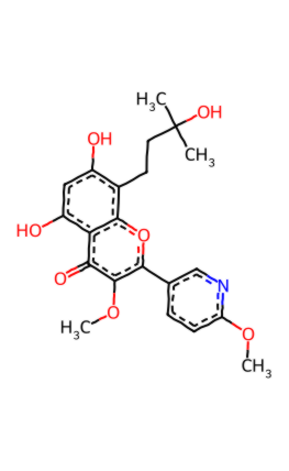 COc1ccc(-c2oc3c(CCC(C)(C)O)c(O)cc(O)c3c(=O)c2OC)cn1